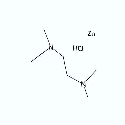 CN(C)CCN(C)C.Cl.[Zn]